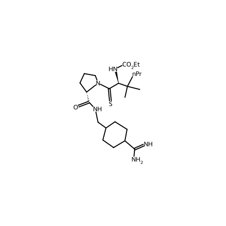 CCCC(C)(C)[C@H](NC(=O)OCC)C(=S)N1CCC[C@H]1C(=O)NCC1CCC(C(=N)N)CC1